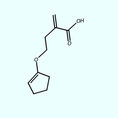 C=C(CCOC1=CCCC1)C(=O)O